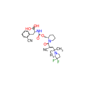 CC(C)(C=C(C#N)C(=O)N1CCCC[C@@H]1COC(=O)NC(Cc1ccccc1C#N)B(O)O)N1CCC(F)(F)C1